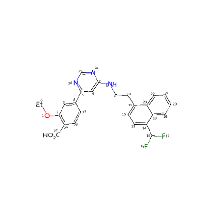 CCOc1cc(-c2cc(NCCc3ccc(C(F)F)c4ccccc34)ncn2)ccc1C(=O)O